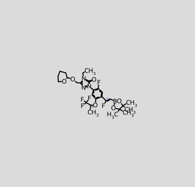 CCn1c(COC2CCCCO2)nn(-c2cc(O[C@@H](C)C(F)(F)F)c(/C(F)=C/B3OC(C)(C)C(C)(C)O3)cc2F)c1=O